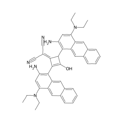 CCN(CC)c1cc(N)c(C2=C(O)C(c3c(N)cc(N(CC)CC)c4cc5ccccc5cc34)C2=C(C#N)C#N)c2cc3ccccc3cc12